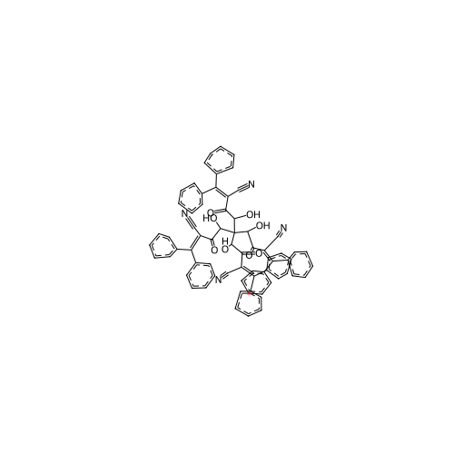 N#CC(C(=O)C(O)C(C(O)C(=O)C(C#N)=C(c1ccccc1)c1ccccc1)(C(O)C(=O)C(C#N)=C(c1ccccc1)c1ccccc1)C(O)C(=O)C(C#N)=C(c1ccccc1)c1ccccc1)=C(c1ccccc1)c1ccccc1